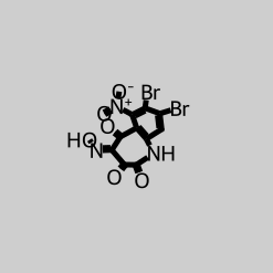 O=C1Nc2cc(Br)c(Br)c([N+](=O)[O-])c2C(=O)C(=NO)C1=O